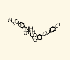 CN1CCC(NC(=O)NCC2COc3ccc(OCc4ccc(Cl)cc4)cc3O2)CC1